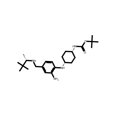 C[C@H](NCc1ccc(N[C@H]2CC[C@@H](NC(=O)OC(C)(C)C)CC2)c(N)c1)C(C)(C)C